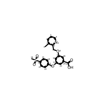 Cc1cccnc1COc1cc(Oc2ccc(S(C)(=O)=O)cc2)cc(C(=O)O)c1